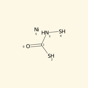 O=C(S)NS.[Ni]